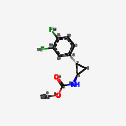 CC(C)(C)OC(=O)N[C@@H]1C[C@H]1c1ccc(F)c(F)c1